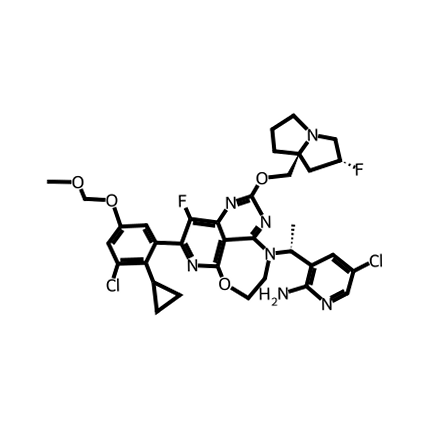 COCOc1cc(Cl)c(C2CC2)c(-c2nc3c4c(nc(OC[C@@]56CCCN5C[C@H](F)C6)nc4c2F)N([C@H](C)c2cc(Cl)cnc2N)CCO3)c1